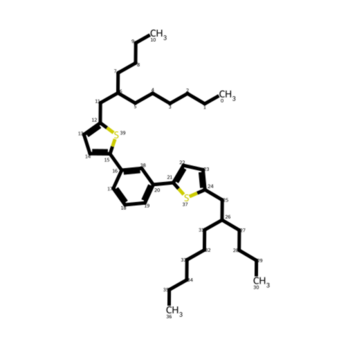 CCCCCCC(CCCC)Cc1ccc(-c2cccc(-c3ccc(CC(CCCC)CCCCCC)s3)c2)s1